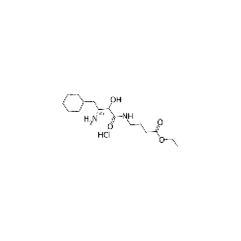 CCOC(=O)CCCNC(=O)C(O)[C@H](N)CC1CCCCC1.Cl